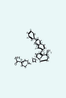 NC(=O)C1CCN(C[C@H]2C[C@@H](c3nc(-c4ccc5ccc(-c6ccccc6)nc5c4)c4c(N)nccn43)C2)CC1